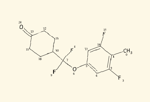 Cc1c(F)cc(OC(F)(F)C2CCC(=O)CC2)cc1F